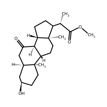 COC(=O)[C@@H](C)C1CC[C@H]2[C@@H]3C(=O)C[C@@H]4C[C@H](O)CC[C@]4(C)[C@H]3CC[C@]12C